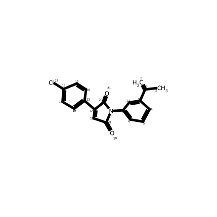 C=C(C)c1cccc(N2C(=O)C=C(c3ccc(Cl)cc3)C2=O)c1